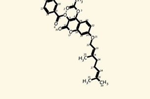 CC(=O)Oc1c(OC(=O)c2ccccc2)c(=O)oc2cc(OC/C=C(\C)CCC=C(C)C)ccc12